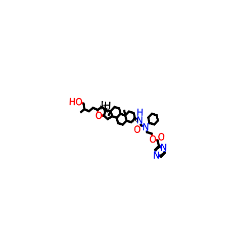 CC(CO)CCC1OC2CC3C4CCC5C[C@H](NC(=O)N(CCOC(=O)c6cnccn6)C6CCCCC6)CCC5(C)C4CCC3(C)[C@H]2[C@@H]1C